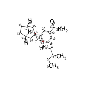 CCC(C)CNCCCN1[C@@H]2CC[C@H]1C[C@@H](c1cccc(C(N)=O)c1)C2